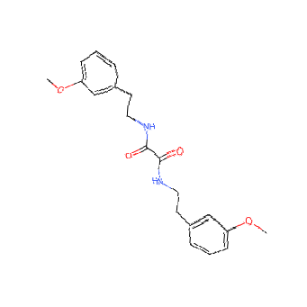 COc1cccc(CCNC(=O)C(=O)NCCc2cccc(OC)c2)c1